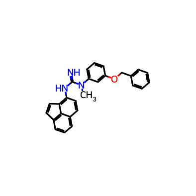 CN(C(=N)Nc1ccc2cccc3c2c1C=C3)c1cccc(OCc2ccccc2)c1